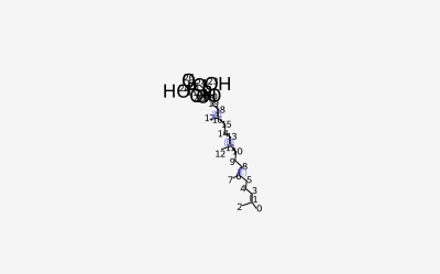 CC(C)=CCC/C(C)=C/CC/C(C)=C/CC/C(C)=C/COP(=O)(O)OP(=O)(O)O